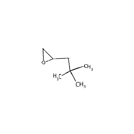 CC(C)(C)[CH]C1CO1